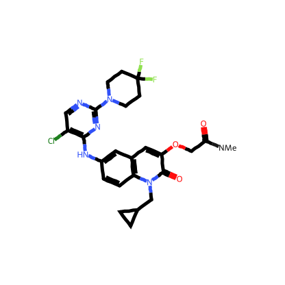 CNC(=O)COc1cc2cc(Nc3nc(N4CCC(F)(F)CC4)ncc3Cl)ccc2n(CC2CC2)c1=O